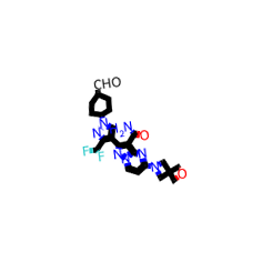 NC(=O)c1c(-c2cn(C3CCC(C=O)CC3)nc2C(F)F)nn2ccc(N3CC4(COC4)C3)nc12